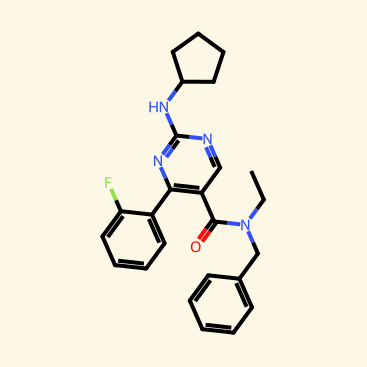 CCN(Cc1ccccc1)C(=O)c1cnc(NC2CCCC2)nc1-c1ccccc1F